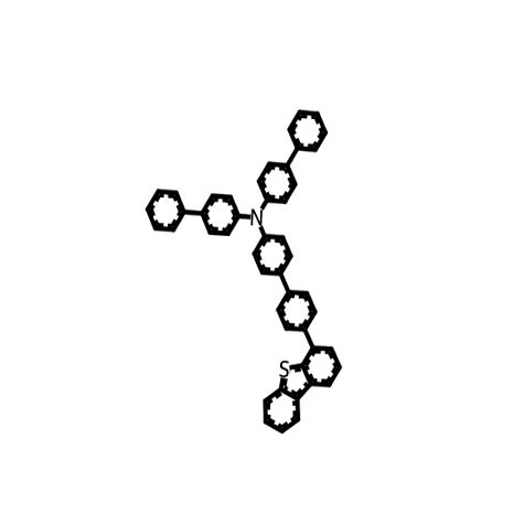 c1ccc(-c2ccc(N(c3ccc(-c4ccccc4)cc3)c3ccc(-c4ccc(-c5cccc6c5sc5ccccc56)cc4)cc3)cc2)cc1